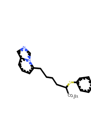 CCOC(=O)C(CCCCc1cccc2cncn12)Sc1ccccc1